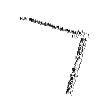 B.B.B.B.B.B.B.B.B.B.B.B.B.B.B.B.B.B.B.B.B.B.B.B.B.B.B.B.B.B.B.B.B.B.B.B.B.B.B.B.B.B.B.B.B.B.B.B.B.B.B.CP(C)C1CCCC1